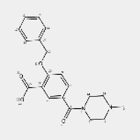 CN1CCN(C(=O)c2ccc(OCc3ccccc3)c(C(=O)O)c2)CC1